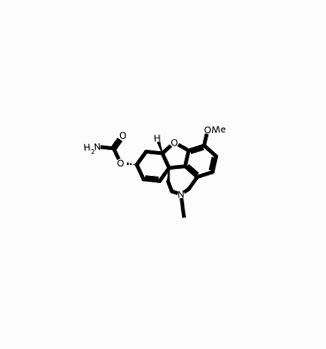 COc1ccc2c3c1O[C@H]1C[C@@H](OC(N)=O)C=C[C@@]31CCN(C)C2